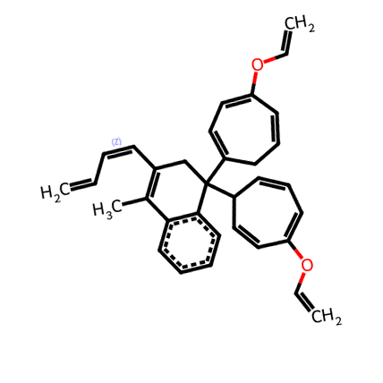 C=C/C=C\C1=C(C)c2ccccc2C(C2=CC=C(OC=C)C=CC2)(C2C=CC=C(OC=C)C=C2)C1